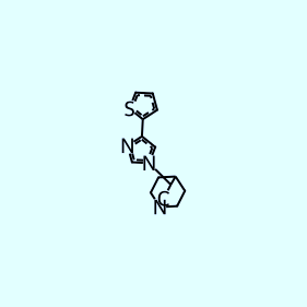 c1csc(-c2cn(C3CN4CCC3CC4)cn2)c1